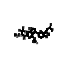 COc1nc(N[C@H](C)C(F)(F)F)nc2[nH]cc(-c3ccc4nnn(CC(F)F)c4n3)c12